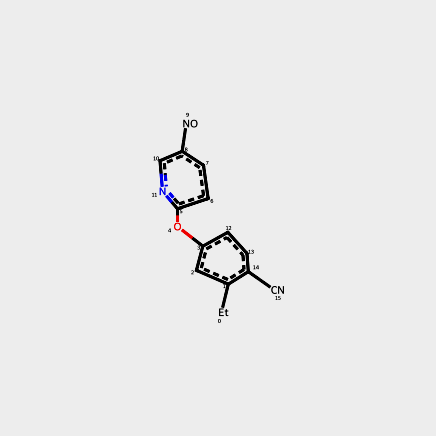 CCc1cc(Oc2ccc(N=O)cn2)ccc1C#N